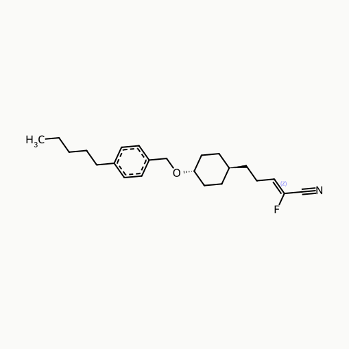 CCCCCc1ccc(CO[C@H]2CC[C@H](CC/C=C(\F)C#N)CC2)cc1